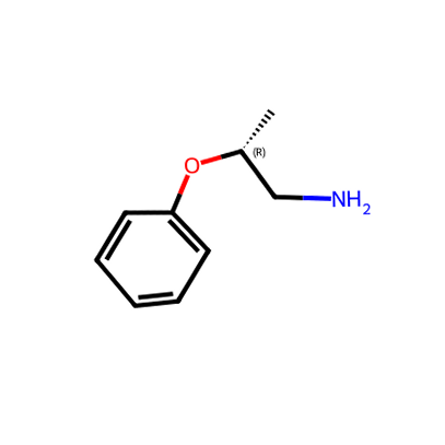 C[C@H](CN)Oc1ccccc1